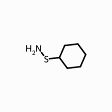 NSC1CCCCC1